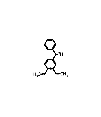 [2H][C](c1ccccc1)c1ccc(CC)c(CC)c1